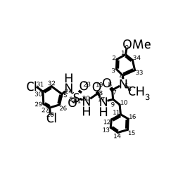 COc1ccc(N(C)C(=O)C(Cc2ccccc2)NC(=O)NS(=O)(=O)Nc2cc(Cl)cc(Cl)c2)cc1